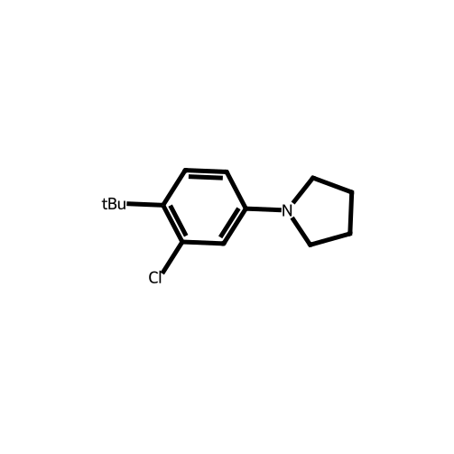 CC(C)(C)c1ccc(N2CCCC2)cc1Cl